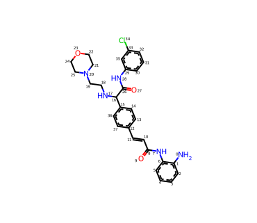 Nc1ccccc1NC(=O)/C=C/c1ccc(C(NCCN2CCOCC2)C(=O)Nc2cccc(Cl)c2)cc1